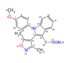 COc1ccc(-n2c(-c3c(C)noc3C)c(SC#N)c3ccccc32)cc1